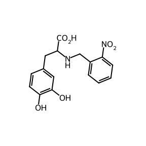 O=C(O)C(Cc1ccc(O)c(O)c1)NCc1ccccc1[N+](=O)[O-]